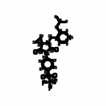 CC(C)Cc1cnccc1CN1C(=O)N(c2ccc(S(=O)(=O)C(F)(F)F)cc2)C(=O)C12CC2